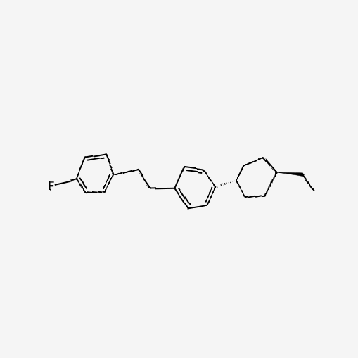 CC[C@H]1CC[C@H](c2ccc(CCc3ccc(F)cc3)cc2)CC1